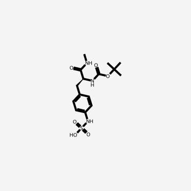 CNC(=O)[C@H](Cc1ccc(NS(=O)(=O)O)cc1)NC(=O)OC(C)(C)C